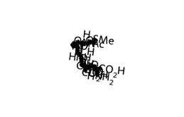 CSC[C@H](NC(=O)CNC(=O)CNC(=O)[C@@H]1CCCN1C(=O)COCCNC(=O)CNC(=O)[C@@H](CCC(=O)O)NC(=O)CNC(=O)[C@@H](CCC(=O)O)NC(=O)CN)C(C)=O